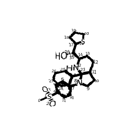 CS(=O)(=O)c1ccc(N2CCC3CCC([C@H](O)C4CCCS4)NC32C2CCCCC2)cc1